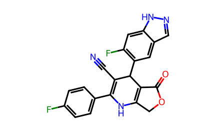 N#CC1=C(c2ccc(F)cc2)NC2=C(C(=O)OC2)C1c1cc2cn[nH]c2cc1F